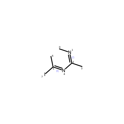 C/N=C(C)\N=C(/C)I